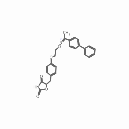 C/C(=N/OCCOc1ccc(CC2OC(=O)NC2=O)cc1)c1ccc(-c2ccccc2)cc1